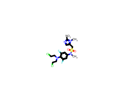 CN(c1cc(F)c(N(CCCl)CCCl)c(F)c1)S(=O)(=O)Cc1cnc([N+](=O)[O-])n1C